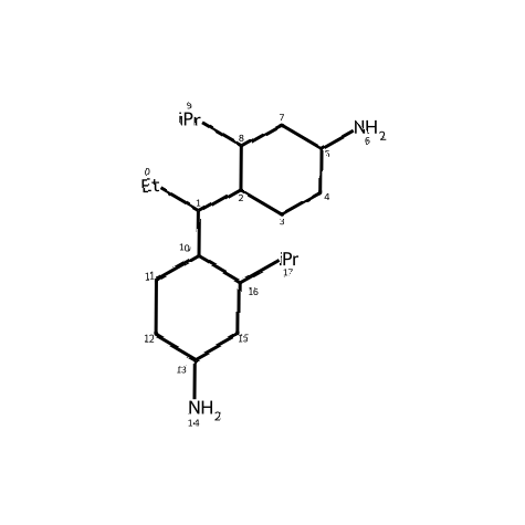 CCC(C1CCC(N)CC1C(C)C)C1CCC(N)CC1C(C)C